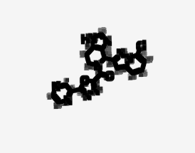 O=C(c1nnc(-c2cnccn2)o1)N1CCc2[nH]cnc2C1c1cc2cccc(Cl)n2n1